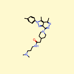 Cc1ccc(-n2nc3c(N4CCC(CC(=O)NCCCN(C)C)CC4)nnc(C)c3c2C)cc1